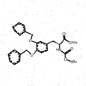 COC(=O)[C@H](Cc1ccc(OCc2ccccc2)c(OCc2ccccc2)c1)NC(=O)OC(C)(C)C